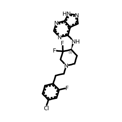 Fc1cc(Cl)ccc1CCN1CC[C@H](Nc2ncnc3[nH]ncc23)C(F)(F)C1